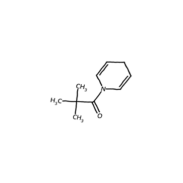 CC(C)(C)C(=O)N1C=CCC=C1